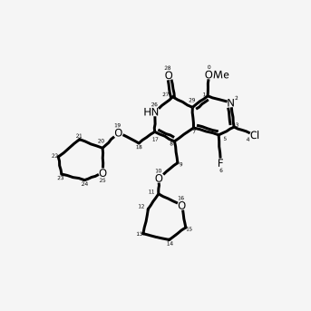 COc1nc(Cl)c(F)c2c(COC3CCCCO3)c(COC3CCCCO3)[nH]c(=O)c12